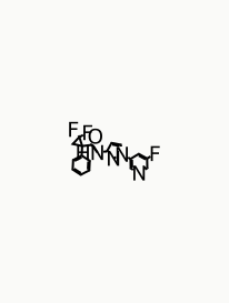 O=C(Nc1ccn(-c2cncc(F)c2)n1)C1(c2ccccc2)CC1(F)F